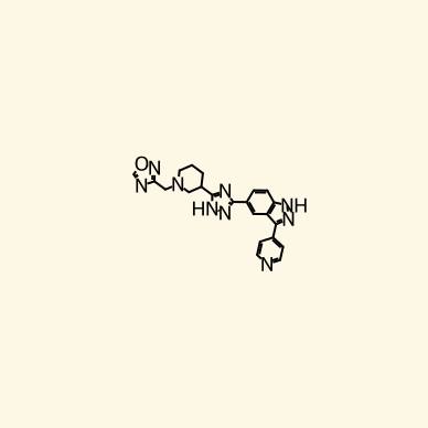 c1cc(-c2n[nH]c3ccc(-c4n[nH]c(C5CCCN(Cc6ncon6)C5)n4)cc23)ccn1